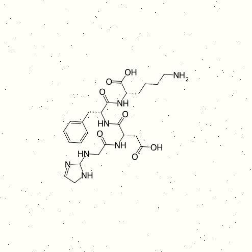 NCCCC[C@H](NC(=O)[C@@H](Cc1ccccc1)NC(=O)[C@H](CC(=O)O)NC(=O)CNC1N=CCN1)C(=O)O